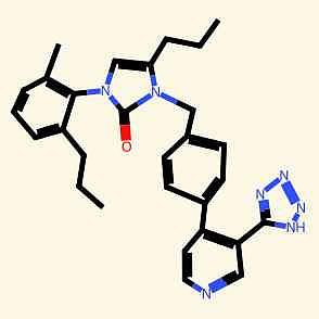 CCCc1cccc(C)c1-n1cc(CCC)n(Cc2ccc(-c3ccncc3-c3nnn[nH]3)cc2)c1=O